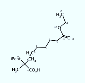 CCCC(C)C(C)(C)C(=O)O.CCCCCC(=O)OCC